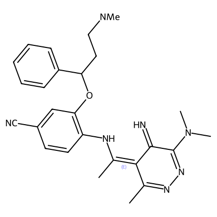 CNCCC(Oc1cc(C#N)ccc1N/C(C)=C1\C(=N)C(N(C)C)=NN=C1C)c1ccccc1